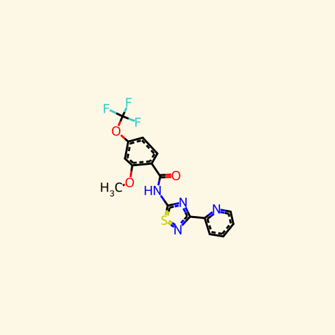 COc1cc(OC(F)(F)F)ccc1C(=O)Nc1nc(-c2ccccn2)ns1